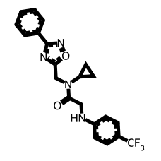 O=C(CNc1ccc(C(F)(F)F)cc1)N(Cc1nc(-c2ccccc2)no1)C1CC1